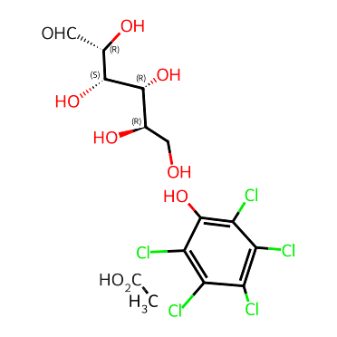 CC(=O)O.O=C[C@H](O)[C@@H](O)[C@H](O)[C@H](O)CO.Oc1c(Cl)c(Cl)c(Cl)c(Cl)c1Cl